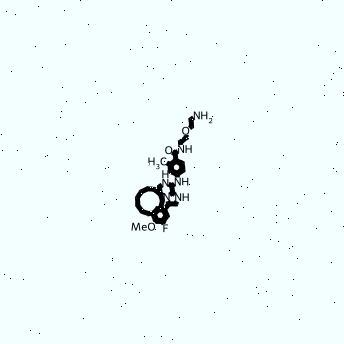 COc1ccc(C2CNC3C(Nc4ccc(C(=O)NCCOCCN)c(C)c4)NCC4(CCCCCCCCCC4)N23)cc1F